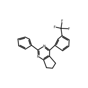 FC(F)(F)c1cccc(-c2nc(-c3ccccc3)nc3c2CCC3)c1